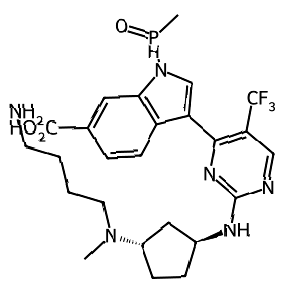 CN(CCCCN)[C@H]1CC[C@H](Nc2ncc(C(F)(F)F)c(-c3cn([PH](C)=O)c4cc(C(=O)O)ccc34)n2)C1